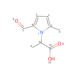 Cc1ccc(C=O)n1C(C)C(=O)O